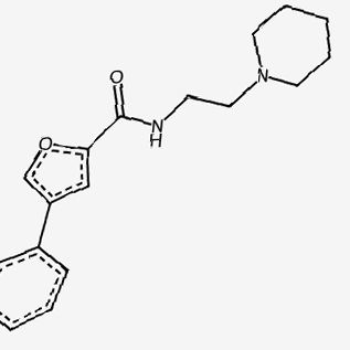 O=C(NCCN1CCCCC1)c1cc(-c2ccccc2)co1